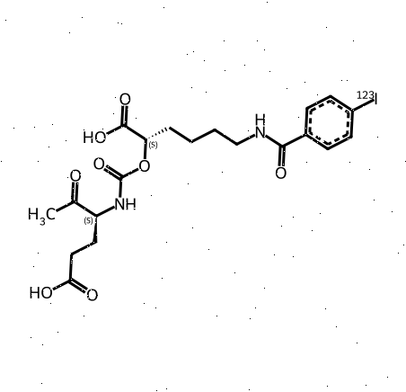 CC(=O)[C@H](CCC(=O)O)NC(=O)O[C@@H](CCCCNC(=O)c1ccc([123I])cc1)C(=O)O